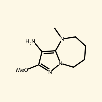 COc1nn2c(c1N)N(C)CCCC2